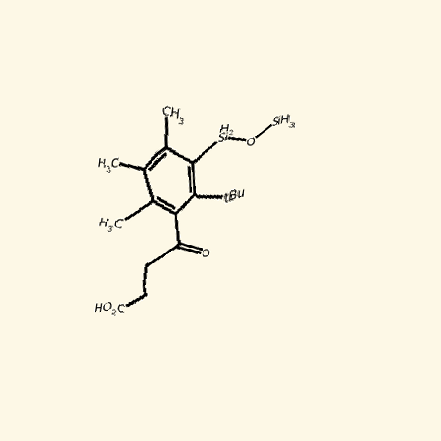 Cc1c(C)c([SiH2]O[SiH3])c(C(C)(C)C)c(C(=O)CCC(=O)O)c1C